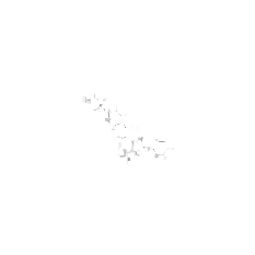 O=C(Nc1ccc(N2CC3CC2CN3)nc1)c1nc(-c2ccccc2)oc1C(F)(F)F